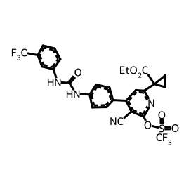 CCOC(=O)C1(c2cc(-c3ccc(NC(=O)Nc4cccc(C(F)(F)F)c4)cc3)c(C#N)c(OS(=O)(=O)C(F)(F)F)n2)CC1